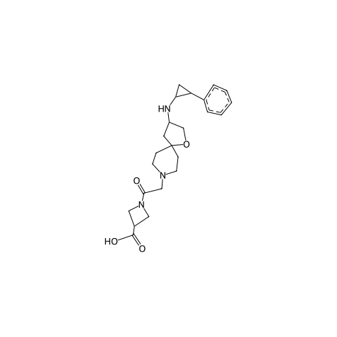 O=C(O)C1CN(C(=O)CN2CCC3(CC2)CC(NC2CC2c2ccccc2)CO3)C1